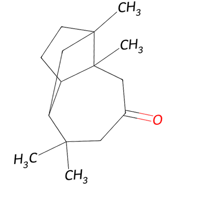 CC1(C)CC(=O)CC2(C)C3CCC2(C)CC31